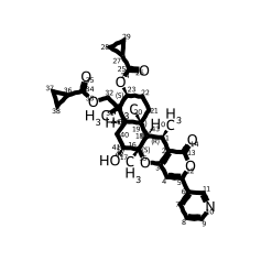 C[C@H]1c2c(cc(-c3cccnc3)oc2=O)O[C@@]2(C)[C@H]1[C@@]1(C)CC[C@H](OC(=O)C3CC3)C(C)(COC(=O)C3CC3)[C@@H]1C[C@@H]2O